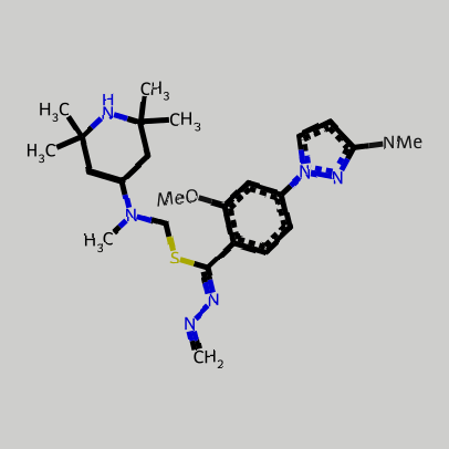 C=N/N=C(\SCN(C)C1CC(C)(C)NC(C)(C)C1)c1ccc(-n2ccc(NC)n2)cc1OC